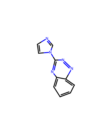 c1ccc2nc(-n3ccnc3)nnc2c1